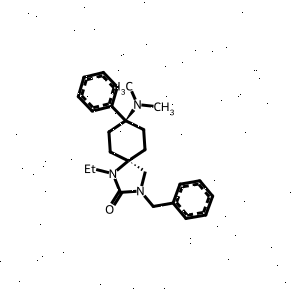 CCN1C(=O)N(Cc2ccccc2)C[C@]12CC[C@](c1ccccc1)(N(C)C)CC2